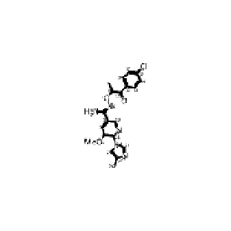 COc1cc(/C(N)=N/OC(C)C(=O)c2ccc(Cl)cc2)cnc1-n1cnc(C)c1